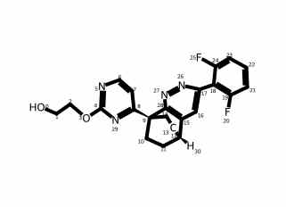 OCCOc1nccc([C@]23CC[C@H](CC2)c2cc(-c4c(F)cccc4F)nnc23)n1